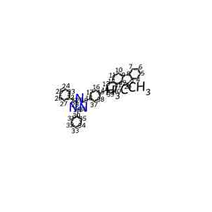 CC1(C)c2ccccc2-c2ccc3cc(-c4ccc(-c5nc(-c6ccccc6)nc(-c6ccccc6)n5)cc4)ccc3c21